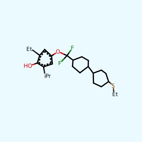 CCSC1CCC(C2CCC(C(F)(F)Oc3cc(CC)c(O)c(C(C)C)c3)CC2)CC1